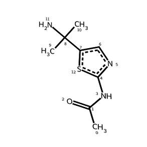 CC(=O)Nc1ncc(C(C)(C)N)s1